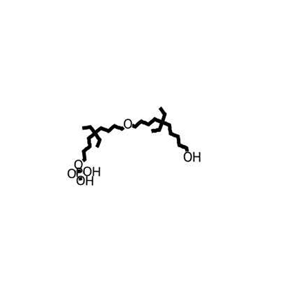 CCC(CC)(CCCCCO)CCCCOCCCCC(CC)(CC)CCCCOP(=O)(O)O